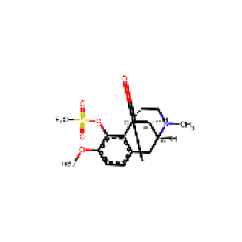 CCCCOc1ccc2c(c1OS(=O)(=O)C(F)(F)F)[C@]13CCN(C)[C@H](C2)[C@@H]1CCC(=O)C3